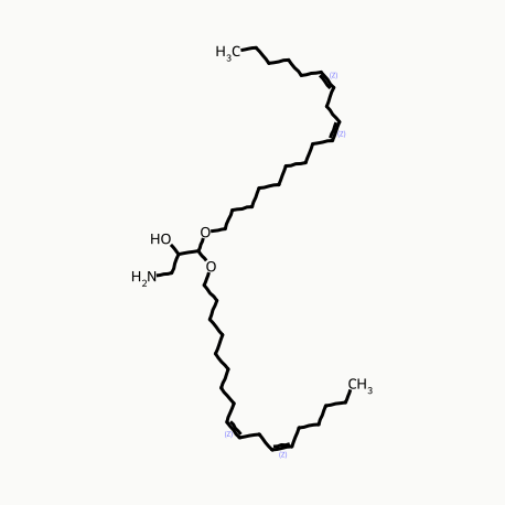 CCCCC/C=C\C/C=C\CCCCCCCCOC(OCCCCCCCC/C=C\C/C=C\CCCCC)C(O)CN